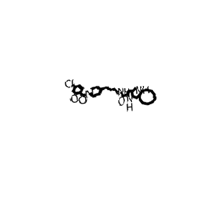 COc1cc(Cl)ccc1C(=O)N1CCC(CCCCNC(=O)c2cc3c([nH]2)CC2(CCCCCCCCC2)NC3)CC1